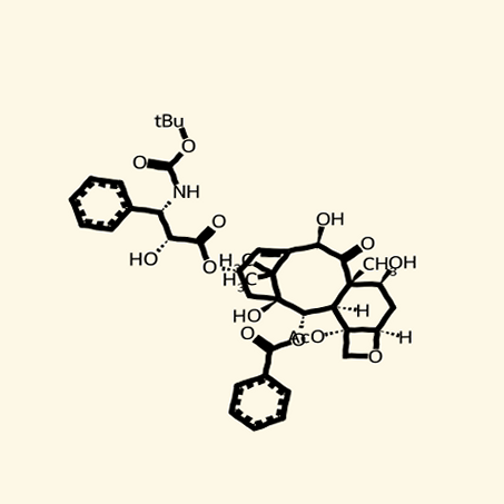 CC(=O)O[C@@]12CO[C@@H]1C[C@H](O)[C@@]1(C)C(=O)[C@H](O)C3=C[C@@H](OC(=O)[C@H](O)[C@@H](NC(=O)OC(C)(C)C)c4ccccc4)C[C@@](O)([C@@H](OC(=O)c4ccccc4)[C@H]21)C3(C)C